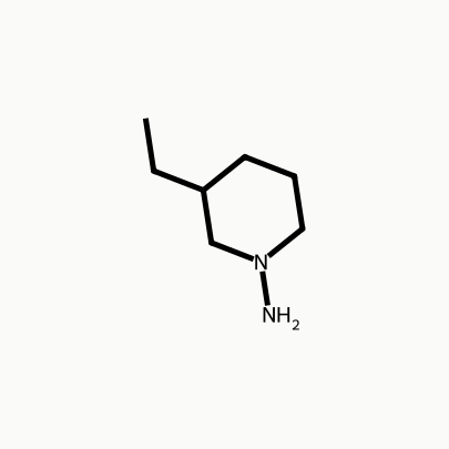 CCC1CCCN(N)C1